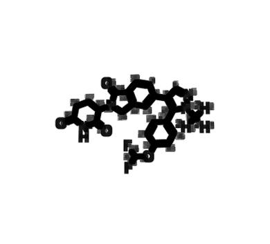 [2H]C([2H])([2H])n1ncc(-c2ccc3c(c2)CN(C2CCC(=O)NC2=O)C3=O)c1-c1ccc(OC(F)F)cc1